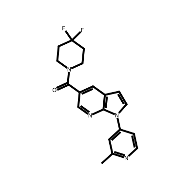 Cc1cc(-n2ccc3cc(C(=O)N4CCC(F)(F)CC4)cnc32)ccn1